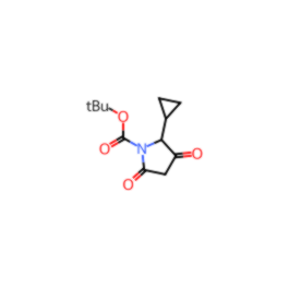 CC(C)(C)OC(=O)N1C(=O)CC(=O)C1C1CC1